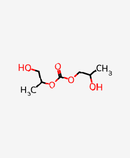 CC(O)COC(=O)OC(C)CO